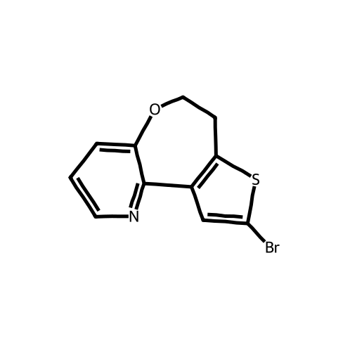 Brc1cc2c(s1)CCOc1cccnc1-2